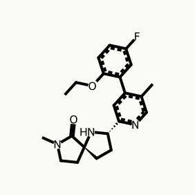 CCOc1ccc(F)cc1-c1cc([C@@H]2CC[C@]3(CCN(C)C3=O)N2)ncc1C